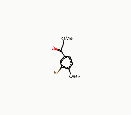 COCC(=O)c1ccc(OC)c(Br)c1